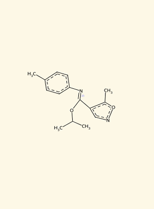 Cc1ccc(/N=C(\OC(C)C)c2cnoc2C)cc1